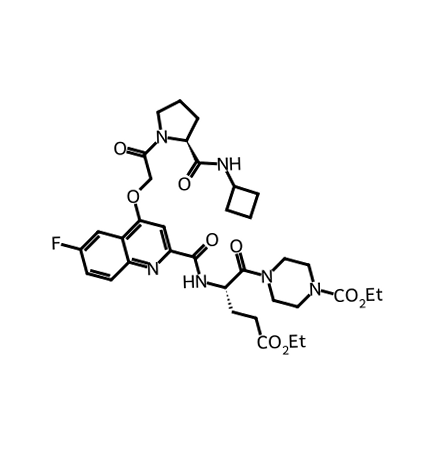 CCOC(=O)CC[C@H](NC(=O)c1cc(OCC(=O)N2CCC[C@H]2C(=O)NC2CCC2)c2cc(F)ccc2n1)C(=O)N1CCN(C(=O)OCC)CC1